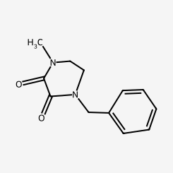 CN1CCN(Cc2ccccc2)C(=O)C1=O